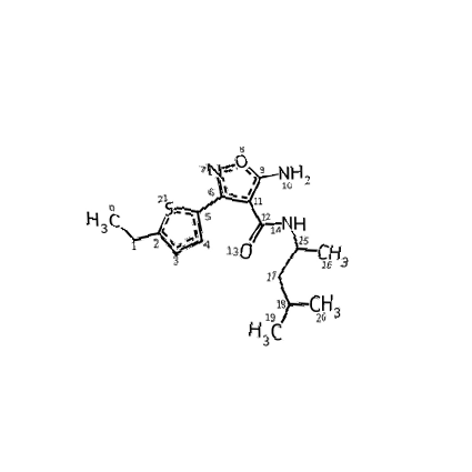 CCc1ccc(-c2noc(N)c2C(=O)NC(C)CC(C)C)s1